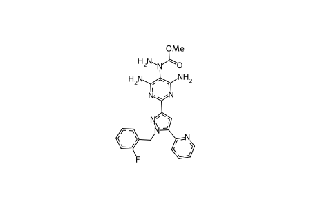 COC(=O)N(N)c1c(N)nc(-c2cc(-c3ccccn3)n(Cc3ccccc3F)n2)nc1N